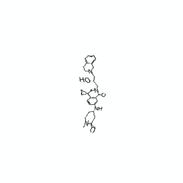 CN1CCC(Nc2ccc3c(c2)C(=O)N(C[C@H](O)CN2CCc4ccccc4C2)CC32CC2)CC1=O